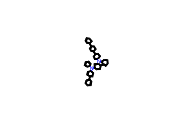 C1=CCCC(C2=CCC(C3CCC(N4C5=CC(N(C6C=CC=CC6)C6C=CC(C7=CCCC=C7)=CC6)CCC5C5=CCCCC54)CC3)CC2)=C1